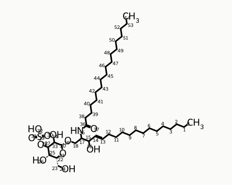 CCCCCCCCCCCCC/C=C/C(O)C(CO[C@@H]1O[C@H](CO)[C@H](O)C(OS(=O)(=O)O)C1O)NC(=O)CCCCCCCCCCCCCCCCC